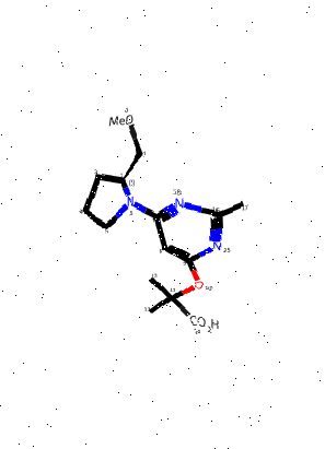 COC[C@@H]1CCCN1c1cc(OC(C)(C)C(=O)O)nc(C)n1